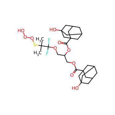 CC(C)(SOOO)C(F)(F)OCC(COC(=O)C12CC3CC(CC(O)(C3)C1)C2)OC(=O)C12CC3CC(CC(O)(C3)C1)C2